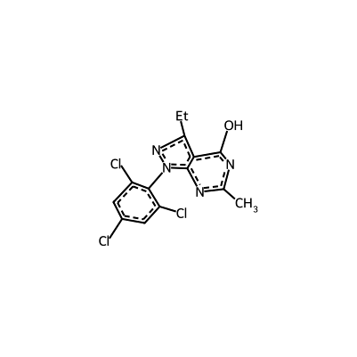 CCc1nn(-c2c(Cl)cc(Cl)cc2Cl)c2nc(C)nc(O)c12